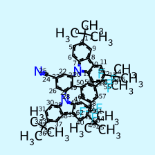 CC(C)(C)c1ccc2c(c1)c1cc(C(C)(C)C)ccc1n2-c1cc(C#N)cc(-n2c3ccc(C(C)(C)C)cc3c3cc(C(C)(C)C)ccc32)c1-c1cc(C(F)(F)F)cc(C(F)(F)F)c1